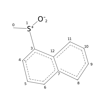 C[S+]([O-])c1[c]ccc2ccccc12